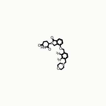 [2H]c1c(COc2cccc3c2CN(C2CCC(=O)NC2=O)C3=O)ccc(CN2CCOCC2)c1[2H]